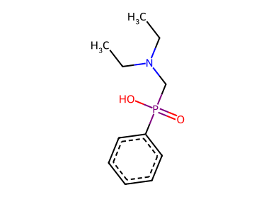 CCN(CC)CP(=O)(O)c1ccccc1